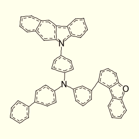 c1ccc(-c2ccc(N(c3ccc(-n4c5ccccc5c5cc6ccccc6cc54)cc3)c3cccc(-c4cccc5oc6ccccc6c45)c3)cc2)cc1